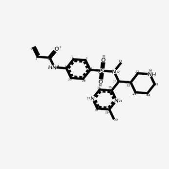 C=CC(=O)Nc1ccc(S(=O)(=O)N(C)C(c2cncc(C)n2)C2CCCNC2)cc1